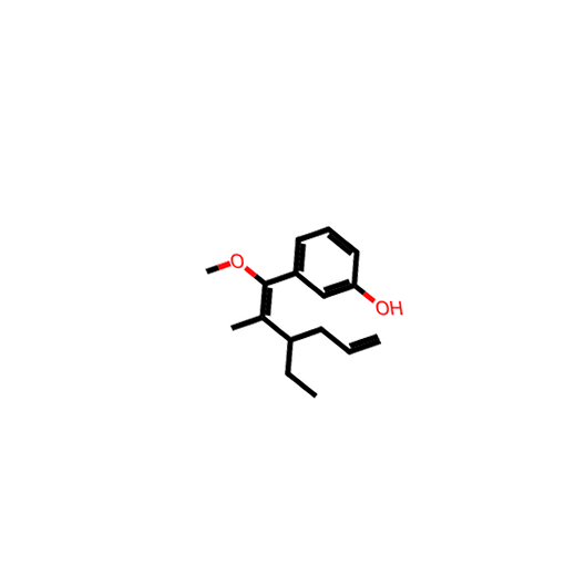 C=CCC(CC)/C(C)=C(/OC)c1cccc(O)c1